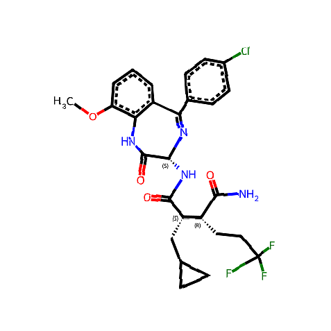 COc1cccc2c1NC(=O)[C@@H](NC(=O)[C@@H](CC1CC1)[C@@H](CCC(F)(F)F)C(N)=O)N=C2c1ccc(Cl)cc1